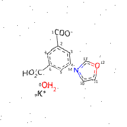 O.O=C([O-])c1cccc(C(=O)O)c1.[K+].c1cocn1